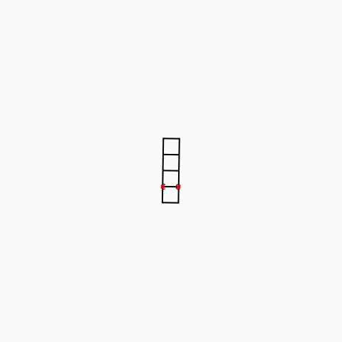 C1CC2C1C1C2C23CCC12CC3